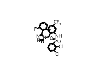 O=S(=O)(Nc1cc(C(F)(F)F)ccc1Cn1nnnc1-c1c(F)cccc1F)c1cccc(Cl)c1Cl